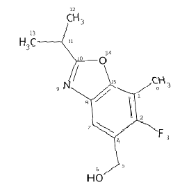 Cc1c(F)c(CO)cc2nc(C(C)C)oc12